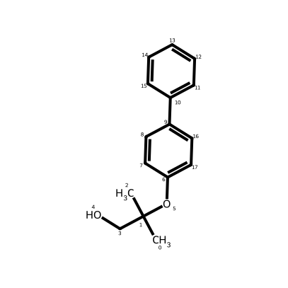 CC(C)(CO)Oc1ccc(-c2ccccc2)cc1